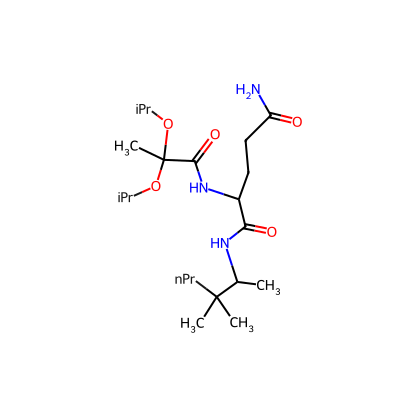 CCCC(C)(C)C(C)NC(=O)C(CCC(N)=O)NC(=O)C(C)(OC(C)C)OC(C)C